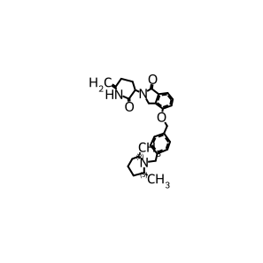 C=C1CCC(N2Cc3c(OCc4ccc(CN5[C@H](C)CCC[C@@H]5C)cc4)cccc3C2=O)C(=O)N1